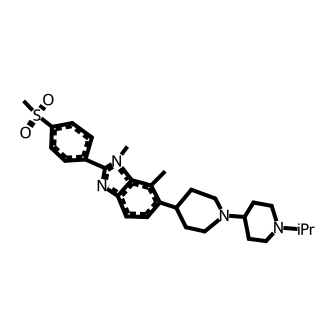 Cc1c(C2CCN(C3CCN(C(C)C)CC3)CC2)ccc2nc(-c3ccc(S(C)(=O)=O)cc3)n(C)c12